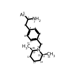 CC(=O)C(N)Cc1ccc(CN2[C@H](C)CCC[C@@H]2C)cc1